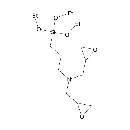 CCO[Si](CCCN(CC1CO1)CC1CO1)(OCC)OCC